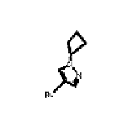 CCC(C)c1cnn(C2CCC2)c1